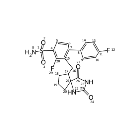 NS(=O)(=O)c1ccc(-c2ccc(F)cc2)c(CC2CCCC23NC(=O)NC3=O)c1F